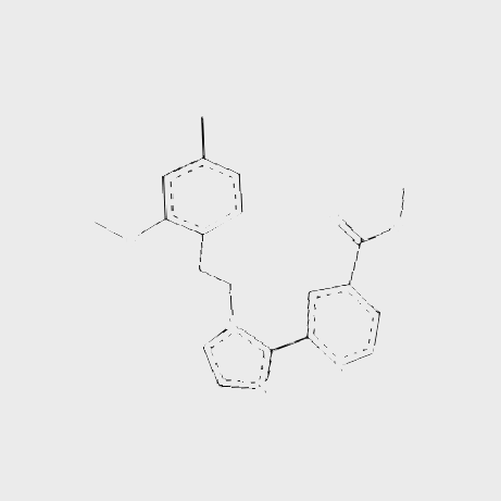 COC(=O)c1ccnc(-c2nccn2CCc2ccc(C)cc2OC)c1